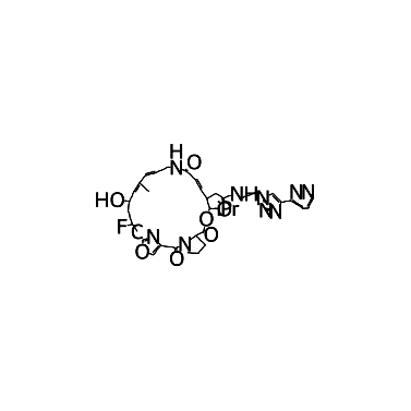 CC1=C\C(O)CC(F)Cc2nc(co2)C(=O)N2CCCC2C(=O)OC(C(C)C)C(CC(=O)NCCn2cc(-c3cccnn3)nn2)/C=C/C(=O)NC\C=C\1